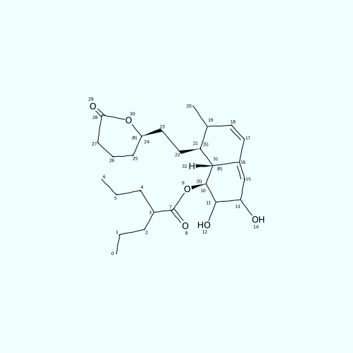 CCCC(CCC)C(=O)O[C@@H]1C(O)C(O)C=C2C=CC(C)[C@H](CC[C@H]3CCCC(=O)O3)[C@H]21